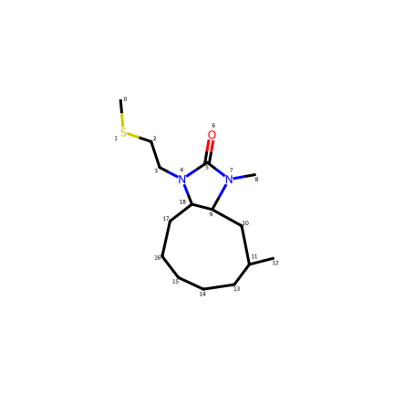 CSCCN1C(=O)N(C)C2CC(C)CCCCCC21